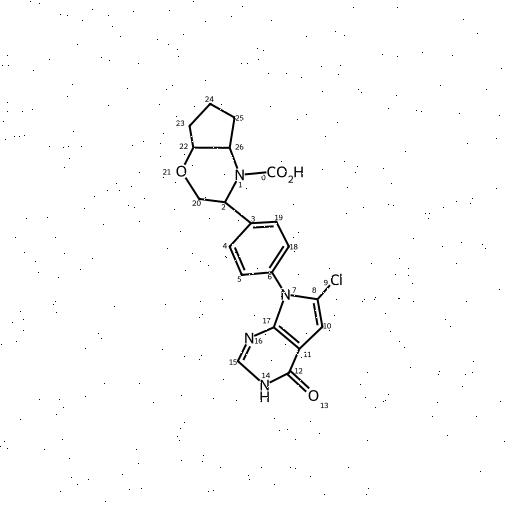 O=C(O)N1C(c2ccc(-n3c(Cl)cc4c(=O)[nH]cnc43)cc2)COC2CCCC21